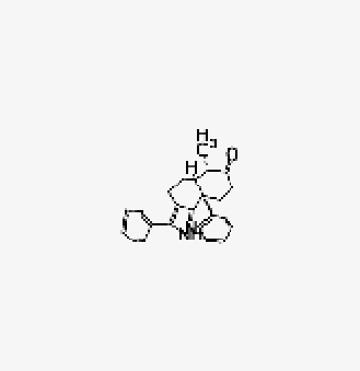 C[C@@H]1C(=O)CC[C@]2(c3ccccc3)c3n[nH]c(-c4ccccc4)c3CC[C@@H]12